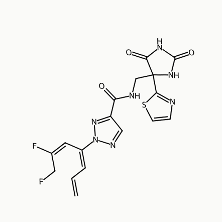 C=C/C=C(\C=C(\F)CF)n1ncc(C(=O)NCC2(c3nccs3)NC(=O)NC2=O)n1